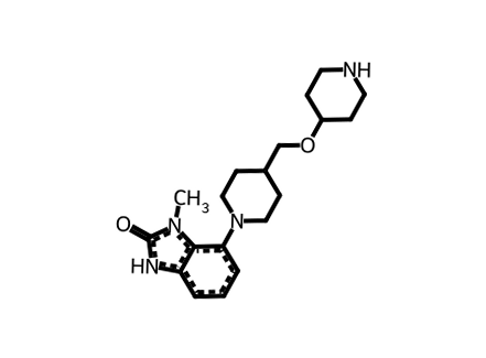 Cn1c(=O)[nH]c2cccc(N3CCC(COC4CCNCC4)CC3)c21